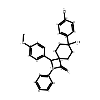 COc1ccc(C2N(c3ccccc3)C(=O)C23CCC(O)(c2ccc(Cl)cc2)CC3)cc1